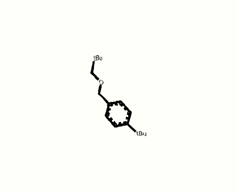 CC(C)(C)COCc1ccc(C(C)(C)C)cc1